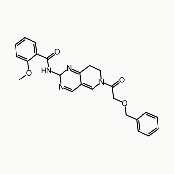 COc1ccccc1C(=O)NC1N=CC2=CN(C(=O)COCc3ccccc3)CCC2=N1